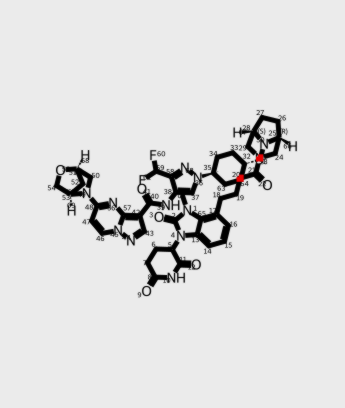 Cn1c(=O)n(C2CCC(=O)NC2=O)c2cccc(CCCC(=O)N3C[C@H]4CC[C@@H](C3)N4C[C@H]3CC[C@H](n4cc(NC(=O)c5cnn6ccc(N7C[C@H]8C[C@@H]7CO8)nc56)c(C(F)F)n4)CC3)c21